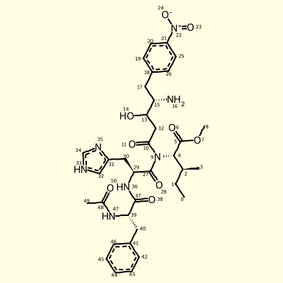 CC[C@H](C)[C@@H](C(=O)OC)N(C(=O)CC(O)[C@@H](N)Cc1ccc([N+](=O)[O-])cc1)C(=O)[C@H](Cc1c[nH]cn1)NC(=O)[C@H](Cc1ccccc1)NC(C)=O